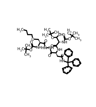 CCCCOC[C@H](NC(=O)OC(C)(C)C)C(=O)NNC(=O)[C@H](CC(=O)NC(c1ccccc1)(c1ccccc1)c1ccccc1)NC(=O)[C@@H](NC(=O)OC(C)(C)C)C(C)OC(C)(C)C